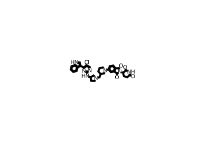 O=C1CCC(N2C(=O)c3ccc(N4CCCC(CN5CCC(Nc6ncc(Cl)c(-c7c[nH]c8ccccc78)n6)C5)C4)cc3C2=O)C(=O)N1